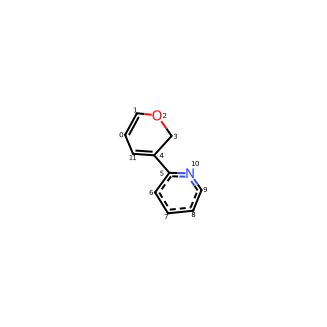 C1=COCC(c2ccccn2)=C1